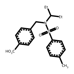 CCC(CC)N(Cc1ccc(C(=O)O)cc1)S(=O)(=O)c1ccc(C)cc1